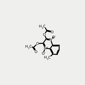 CC(=O)Oc1c(OC(C)=O)[n+]([O-])c2c(C)cccc2[n+]1[O-]